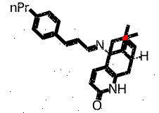 C/C=C1\[C@H]2C=C(C)C[C@]1(/N=C/C=C/c1ccc(CCC)cc1)c1ccc(=O)[nH]c1C2